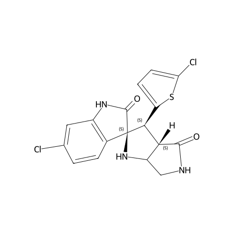 O=C1NCC2N[C@@]3(C(=O)Nc4cc(Cl)ccc43)[C@@H](c3ccc(Cl)s3)[C@H]12